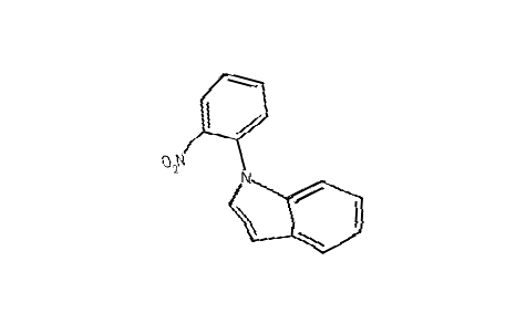 O=[N+]([O-])c1ccccc1-n1ccc2ccccc21